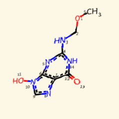 COCNc1nc2c(ncn2O)c(=O)[nH]1